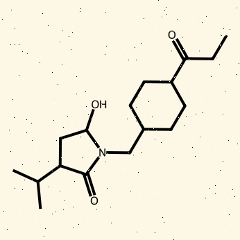 CCC(=O)C1CCC(CN2C(=O)C(C(C)C)CC2O)CC1